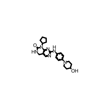 O=C1NCc2cnc(Nc3ccc(N4CCC(O)CC4)cc3)nc2N1C1CCCC1